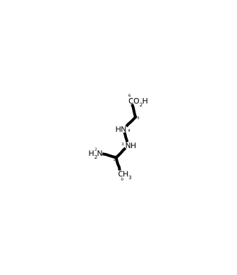 CC(N)NNCC(=O)O